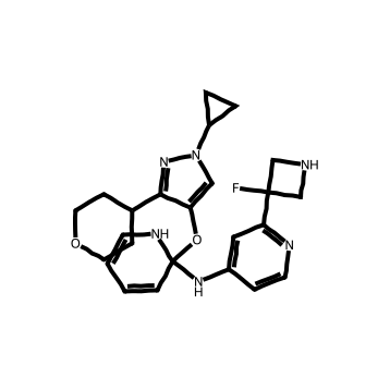 FC1(c2cc(NC3(Oc4cn(C5CC5)nc4C4CCOCC4)C=CC=CN3)ccn2)CNC1